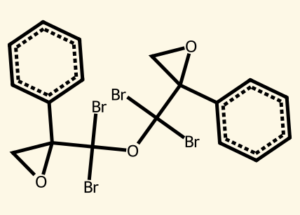 BrC(Br)(OC(Br)(Br)C1(c2ccccc2)CO1)C1(c2ccccc2)CO1